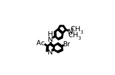 CC(=O)c1cnc2ccc(Br)cc2c1Nc1ccc2c(c1)CCC2N(C)C